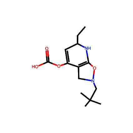 CCC1C=C(OC(=O)O)C2=C(N1)ON(CC(C)(C)C)C2